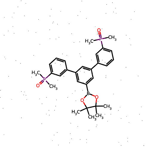 CC1(C)OB(c2cc(-c3cccc(P(C)(C)=O)c3)cc(-c3cccc(P(C)(C)=O)c3)c2)OC1(C)C